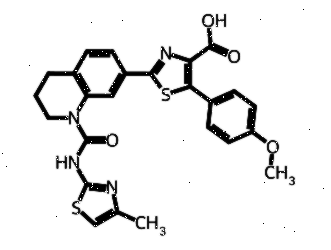 COc1ccc(-c2sc(-c3ccc4c(c3)N(C(=O)Nc3nc(C)cs3)CCC4)nc2C(=O)O)cc1